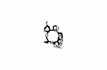 N#Cc1nn2ccc3nc2c1C(=O)NC1(CC1)COc1ncc(F)cc1C1CCON31